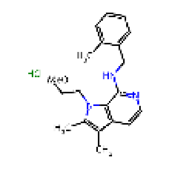 COCCn1c(C)c(C)c2ccnc(NCc3ccccc3C)c21.Cl